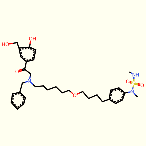 CNS(=O)(=O)N(C)c1ccc(CCCCOCCCCCCN(CC(=O)c2ccc(O)c(CO)c2)Cc2ccccc2)cc1